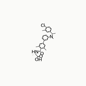 Cc1cc(C(C)N(C)c2cccc(-c3cc(C)c(C(=O)N[C@@H](C)C(=O)O)c(C)c3)c2)ccc1Cl